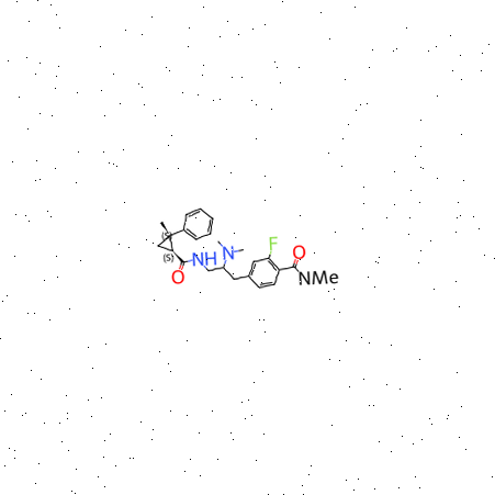 CNC(=O)c1ccc(CC(CNC(=O)[C@H]2C[C@]2(C)c2ccccc2)N(C)C)cc1F